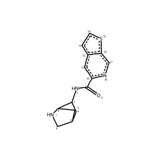 O=C(NC1CC2CNC1C2)c1cc2ccsc2cn1